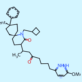 CCCC(C)[C@]1(c2ccccc2)CC[C@@]2(CCC(C(C)CC(=O)CCCCC(=N)/C=C\C(=N)OC)C(=O)N2CC2CCC2)CC1